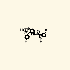 O=C(Nc1ccc(O)c(N(c2ccc(F)cc2)S(=O)(=O)O)c1)c1c[nH]c2ccc(F)cc12